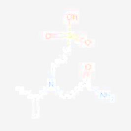 CC(C)N(CCS(=O)(=O)O)CC(N)=O